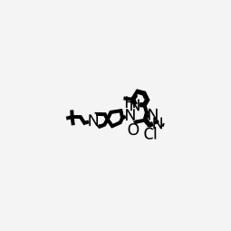 Cc1cccc(-c2nn(C)c(Cl)c2C(=O)NC2CCC3(CC2)CCN(CCC(C)(C)C)CC3)n1